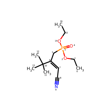 CCOP(=O)(C/C(=C/C#N)C(C)(C)C)OCC